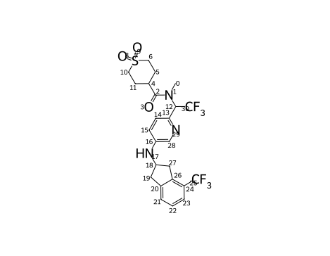 CN(C(=O)C1CCS(=O)(=O)CC1)C(c1ccc(NC2Cc3cccc(C(F)(F)F)c3C2)cn1)C(F)(F)F